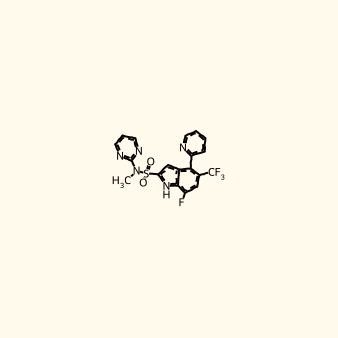 CN(c1ncccn1)S(=O)(=O)c1cc2c(-c3ccccn3)c(C(F)(F)F)cc(F)c2[nH]1